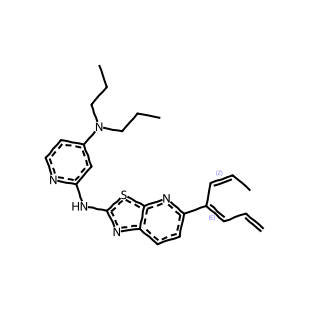 C=C/C=C(\C=C/C)c1ccc2nc(Nc3cc(N(CCC)CCC)ccn3)sc2n1